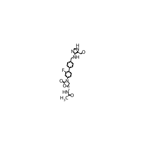 CC(=O)NC[C@H]1CN(c2ccc(-c3ccc(CNc4nc[nH]c4C=O)cc3)c(F)c2)C(=O)O1